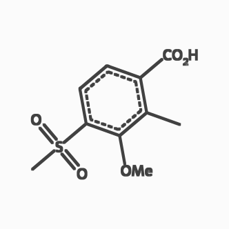 COc1c(S(C)(=O)=O)ccc(C(=O)O)c1C